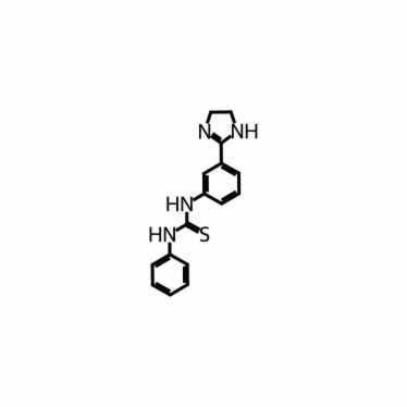 S=C(Nc1ccccc1)Nc1cccc(C2=NCCN2)c1